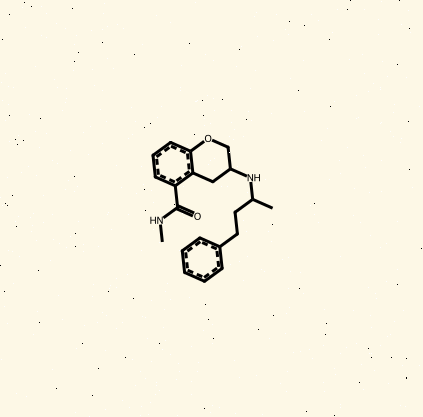 CNC(=O)c1cccc2c1CC(NC(C)CCc1ccccc1)CO2